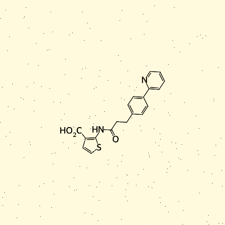 O=C(CCc1ccc(-c2ccccn2)cc1)Nc1sccc1C(=O)O